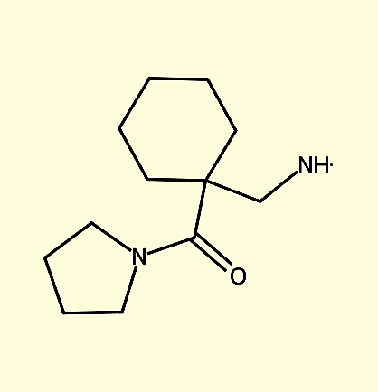 [NH]CC1(C(=O)N2CCCC2)CCCCC1